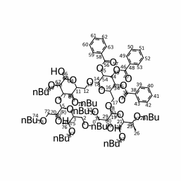 CCCCOCC(O[C@H](OC1[C@H](OCCCC)C(CO[C@H]2OC(CO[C@@H](OC(COCCCC)[C@H](C)OCCCC)[C@H](O)COCCCC)[C@@H](OC(=O)c3ccccc3)C(OC(=O)c3ccccc3)C2OC(=O)c2ccccc2)O[C@@H](O)[C@@H]1OCCCC)[C@H](O)COCCCC)[C@H](C)OCCCC